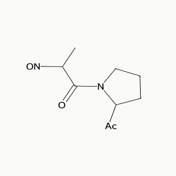 CC(=O)C1CCCN1C(=O)C(C)N=O